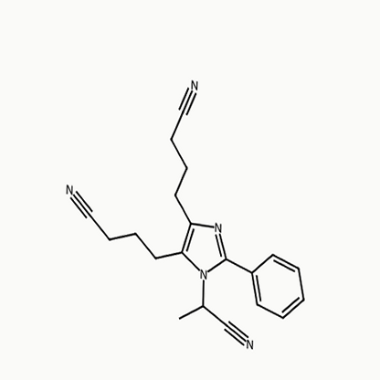 CC(C#N)n1c(-c2ccccc2)nc(CCCC#N)c1CCCC#N